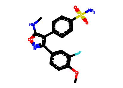 CNc1onc(-c2ccc(OC)c(F)c2)c1-c1ccc(S(N)(=O)=O)cc1